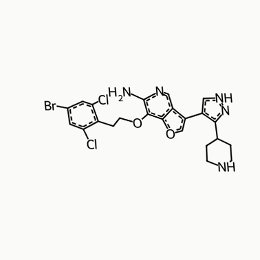 Nc1ncc2c(-c3c[nH]nc3C3CCNCC3)coc2c1OCCc1c(Cl)cc(Br)cc1Cl